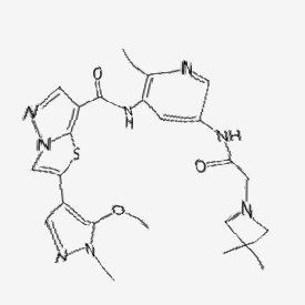 COc1c(-c2cn3ncc(C(=O)Nc4cc(NC(=O)CN5CC(C)(C)C5)cnc4C)c3s2)cnn1C